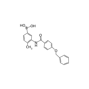 Cc1ccc(B(O)O)cc1NC(=O)c1ccc(OCc2ccccc2)cc1